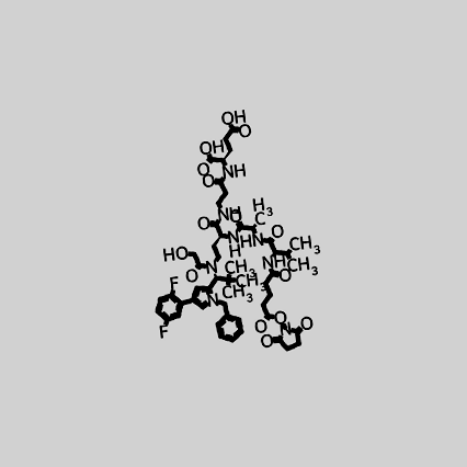 CC(C)[C@@H](NC(=O)CCCC(=O)ON1C(=O)CCC1=O)C(=O)N[C@H](C)C(=O)N[C@@H](CCN(C(=O)CO)[C@@H](c1cc(-c2cc(F)ccc2F)cn1Cc1ccccc1)C(C)(C)C)C(=O)NCCC(=O)N[C@H](CCC(=O)O)C(=O)O